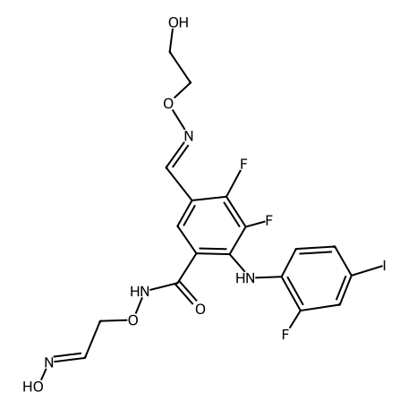 O=C(NOC/C=N/O)c1cc(/C=N/OCCO)c(F)c(F)c1Nc1ccc(I)cc1F